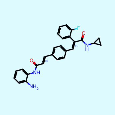 Nc1ccccc1NC(=O)/C=C/c1ccc(/C=C(/C(=O)NC2CC2)c2ccccc2F)cc1